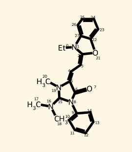 CCN1C(=CC=C2C(=O)N(c3ccccc3)C(N(C)C)N2C)Oc2ccccc21